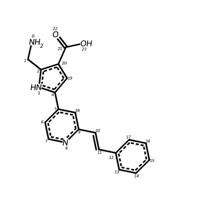 NCc1[nH]c(-c2ccnc(/C=C/c3ccccc3)c2)cc1C(=O)O